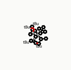 CC(C)(C)c1cc(-c2ccc3c(c2)N(c2ccccc2-c2ccccc2)c2cc(-n4c5ccc(C(C)(C)C)cc5c5cc(C(C)(C)C)ccc54)cc4c2B3c2cc3c(cc2N4c2cc(-c4ccccc4)cc(-c4ccccc4)c2)-c2ccccc2C3(c2ccccc2)c2ccccc2)cc(C(C)(C)C)c1